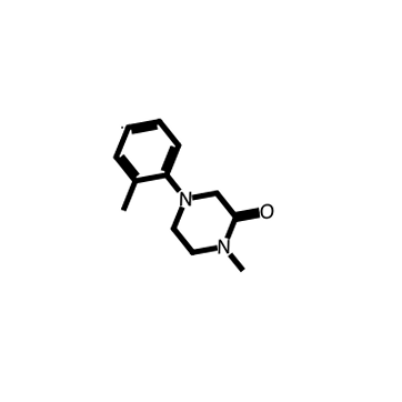 Cc1c[c]ccc1N1CCN(C)C(=O)C1